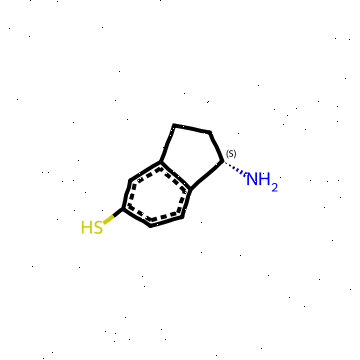 N[C@H]1CCc2cc(S)ccc21